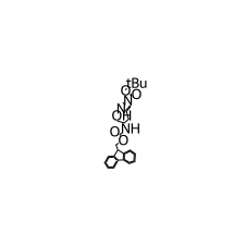 CC(C)(C)OC(=O)n1cnc(CC(CO)NC(=O)OCC2c3ccccc3-c3ccccc32)c1